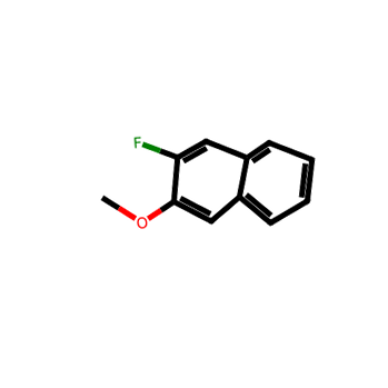 COc1cc2ccccc2cc1F